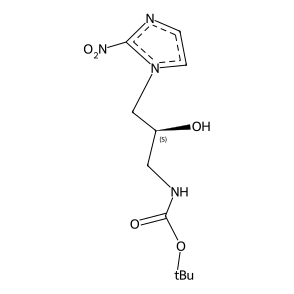 CC(C)(C)OC(=O)NC[C@H](O)Cn1ccnc1[N+](=O)[O-]